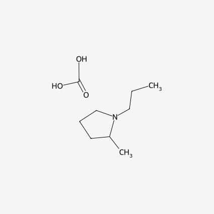 CCCN1CCCC1C.O=C(O)O